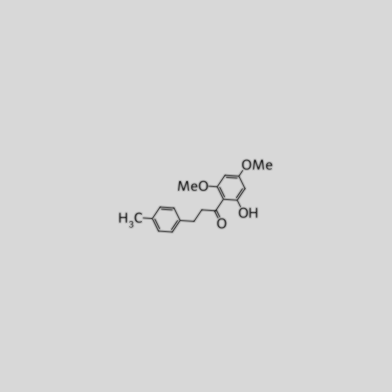 COc1cc(O)c(C(=O)CCc2ccc(C)cc2)c(OC)c1